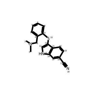 CN(C)Cc1ccccc1Sc1c[nH]c2cc(C#N)ccc12